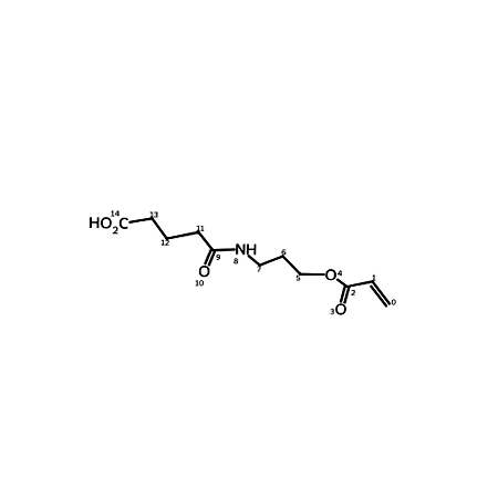 C=CC(=O)OCCCNC(=O)CCCC(=O)O